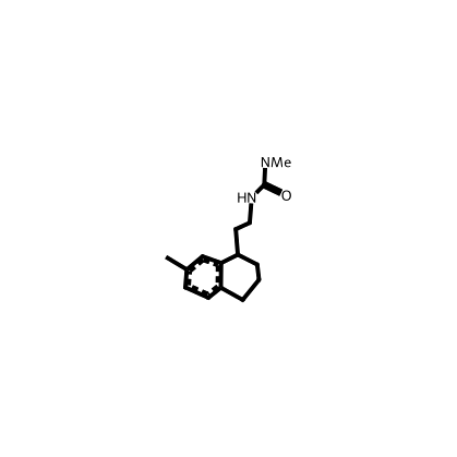 CNC(=O)NCCC1CCCc2ccc(C)cc21